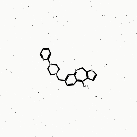 NC1=c2ccc(CN3CCN(c4ccccn4)CC3)cc2=NCc2sccc21